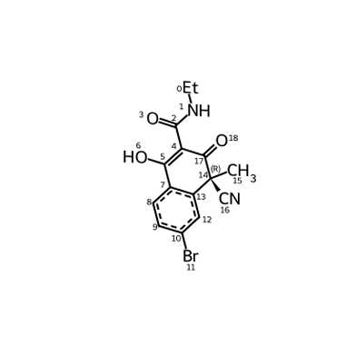 CCNC(=O)C1=C(O)c2ccc(Br)cc2[C@](C)(C#N)C1=O